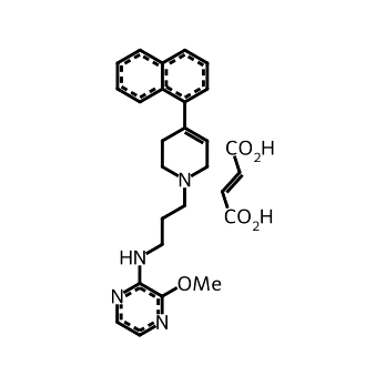 COc1nccnc1NCCCN1CC=C(c2cccc3ccccc23)CC1.O=C(O)C=CC(=O)O